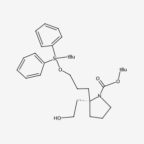 CC(C)(C)OC(=O)N1CCC[C@@]1(CCO)CCCO[Si](c1ccccc1)(c1ccccc1)C(C)(C)C